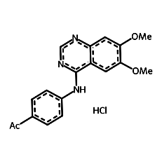 COc1cc2ncnc(Nc3ccc(C(C)=O)cc3)c2cc1OC.Cl